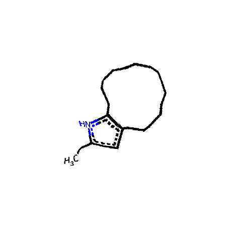 Cc1cc2c([nH]1)CCCCCCC2